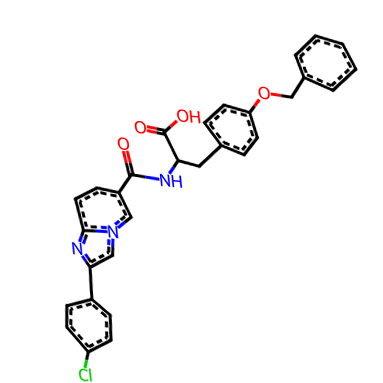 O=C(NC(Cc1ccc(OCc2ccccc2)cc1)C(=O)O)c1ccc2nc(-c3ccc(Cl)cc3)cn2c1